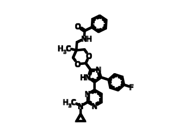 CN(c1nccc(-c2[nH]c(C3OCC(C)(CNC(=O)c4ccccc4)CO3)nc2-c2ccc(F)cc2)n1)C1CC1